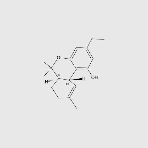 CCc1cc(O)c2c(c1)OC(C)(C)[C@@H]1CCC(C)=C[C@@H]21